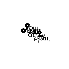 COc1nc2[nH]cc(C(=O)C(=O)N(C)C)c2cc1C(=O)N1C[C@H](C)N(C(c2ccccc2)c2ccccc2)C[C@H]1C